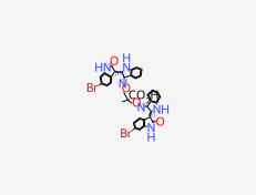 CC(CO/N=C1/C(=C2/C(=O)Nc3cc(Br)ccc32)Nc2ccccc21)(CO/N=C1/C(=C2/C(=O)Nc3cc(Br)ccc32)Nc2ccccc21)C(=O)O